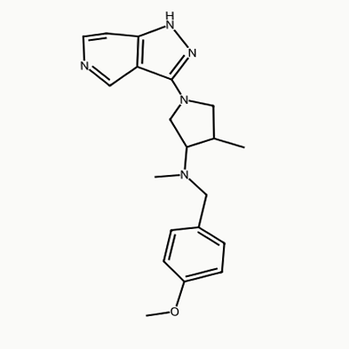 COc1ccc(CN(C)C2CN(c3n[nH]c4ccncc34)CC2C)cc1